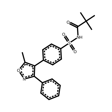 Cc1onc(-c2ccccc2)c1-c1ccc(S(=O)(=O)NC(=O)C(C)(C)C)cc1